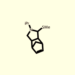 CSC1C2C3C=CC(C3)C2CN1C(C)C